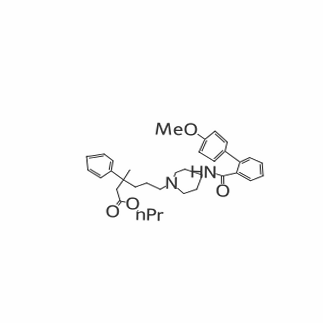 CCCOC(=O)CC(C)(CCCN1CCC(NC(=O)c2ccccc2-c2ccc(OC)cc2)CC1)c1ccccc1